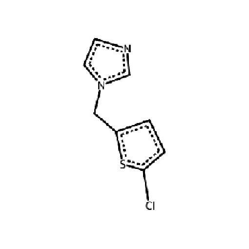 Clc1ccc(Cn2ccnc2)s1